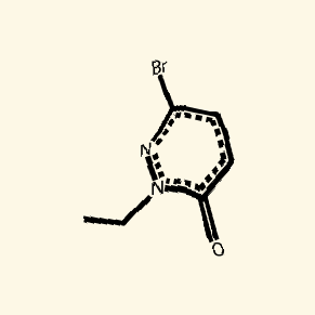 CCn1nc(Br)ccc1=O